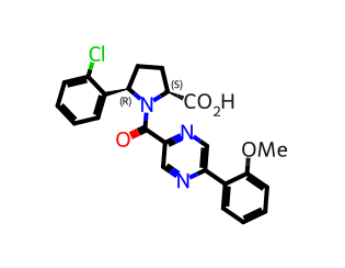 COc1ccccc1-c1cnc(C(=O)N2[C@@H](c3ccccc3Cl)CC[C@H]2C(=O)O)cn1